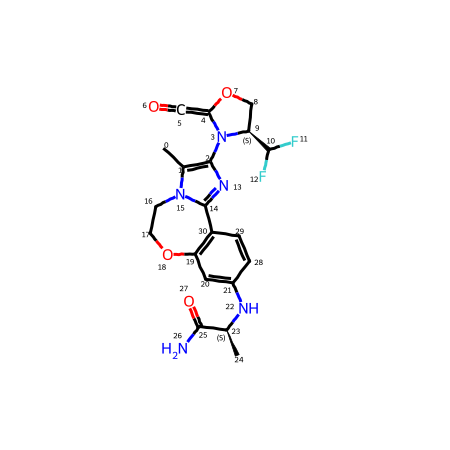 Cc1c(N2C(=C=O)OC[C@H]2C(F)F)nc2n1CCOc1cc(N[C@@H](C)C(N)=O)ccc1-2